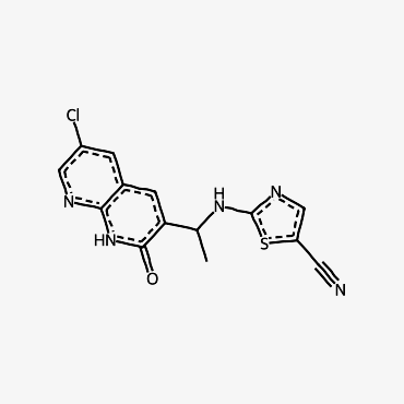 CC(Nc1ncc(C#N)s1)c1cc2cc(Cl)cnc2[nH]c1=O